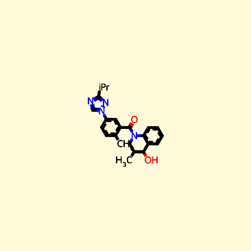 Cc1ccc(-n2cnc(C(C)C)n2)cc1C(=O)N1CC(C)C(O)c2ccccc21